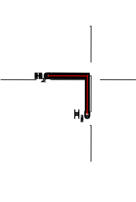 O.O.O.O.O.O.O.O.O.[N].[N].[N].[N].[N].[N].[N].[N].[N].[N].[N].[N].[N].[N].[N].[N].[N].[N].[N].[N].[N].[N].[N].[N].[N].[N].[N].[N].[N].[N].[N].[N].[N].[N].[N].[N].[N].[N].[N].[N].[N].[N].[N].[N].[N].[N].[N].[N].[N].[N].[N].[N].[N].[N].[N].[N].[N].[N].[N].[N].[N].[N].[N].[N].[N].[N].[N].[N].[N].[N].[N].[N].[N].[N].[N].[N].[N].[N].[N].[N].[N].[N].[N].[N].[N].[N].[N].[N].[N].[N].[O]